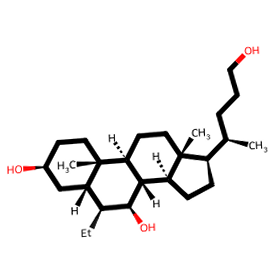 CC[C@@H]1[C@H](O)[C@@H]2[C@H](CC[C@]3(C)[C@@H]([C@H](C)CCCO)CC[C@@H]23)[C@@]2(C)CC[C@H](O)C[C@@H]12